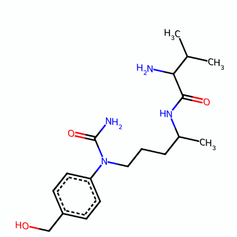 CC(CCCN(C(N)=O)c1ccc(CO)cc1)NC(=O)C(N)C(C)C